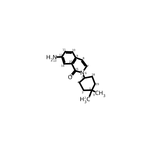 CC1(C)CCC(n2ccc3ccc(N)cc3c2=O)CC1